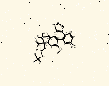 COc1cn(C(CCOC(C)(C)C)(C(=O)O)C(C)(C)C)c(=O)cc1-c1cc(Cl)ccc1-c1cnco1